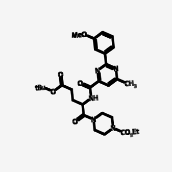 CCOC(=O)N1CCN(C(=O)C(CCC(=O)OC(C)(C)C)NC(=O)c2cc(C)nc(-c3cccc(OC)c3)n2)CC1